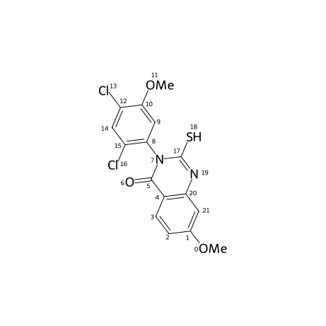 COc1ccc2c(=O)n(-c3cc(OC)c(Cl)cc3Cl)c(S)nc2c1